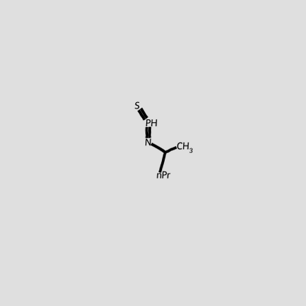 CCCC(C)N=[PH]=S